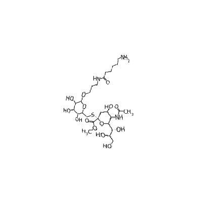 COC(=O)[C@@]1(SCC2OC(OCCCNC(=O)CCCCCN)C(O)C(O)C2O)C[C@@H](O)C(NC(C)=O)C([C@H](O)[C@H](O)CO)O1